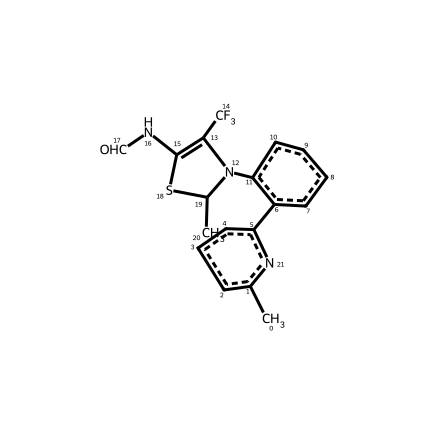 Cc1cccc(-c2ccccc2N2C(C(F)(F)F)=C(NC=O)SC2C)n1